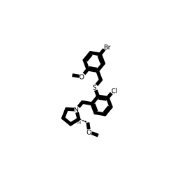 COC[C@@H]1CCCN1Cc1cccc(Cl)c1SCc1cc(Br)ccc1OC